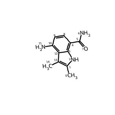 Cc1[nH]c2c(C(N)=O)ccc(N)c2c1C